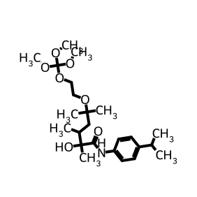 COC(OC)(OC)OCCOC(C)(C)CC(C)C(C)(O)C(=O)Nc1ccc(C(C)C)cc1